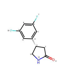 O=C1C[C@@H](c2cc(F)cc(F)c2)CN1